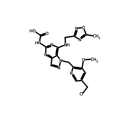 COc1cc(CCl)cnc1Cn1ncc2nc(NC(=O)O)nc(NCc3noc(C)n3)c21